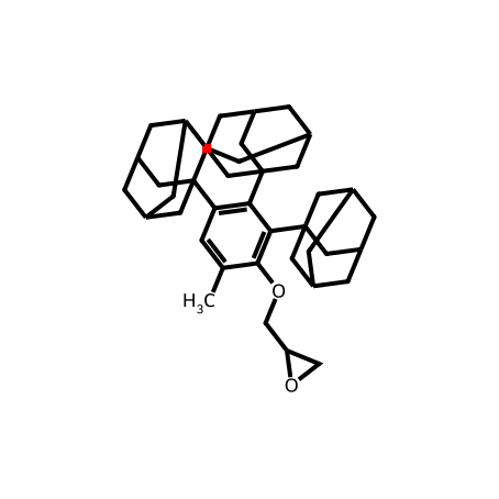 Cc1cc(C23CC4CC(CC(C4)C2)C3)c(C23CC4CC(CC(C4)C2)C3)c(C23CC4CC(CC(C4)C2)C3)c1OCC1CO1